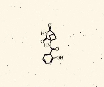 O=C(NC12CC(C1)C(=O)NC2=O)c1ccccc1O